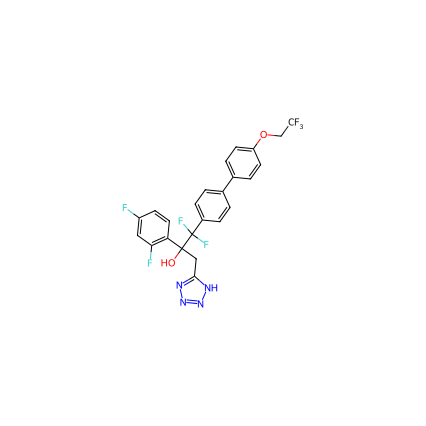 OC(Cc1nnn[nH]1)(c1ccc(F)cc1F)C(F)(F)c1ccc(-c2ccc(OCC(F)(F)F)cc2)cc1